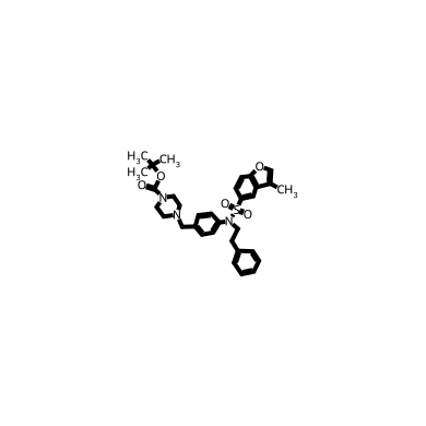 Cc1coc2ccc(S(=O)(=O)N(CCc3ccccc3)c3ccc(CN4CCN(C(=O)OC(C)(C)C)CC4)cc3)cc12